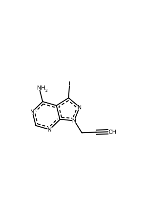 C#CCn1nc(I)c2c(N)ncnc21